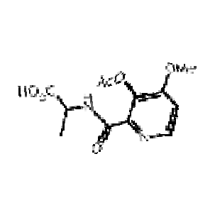 COc1ccnc(C(=O)NC(C)C(=O)O)c1OC(C)=O